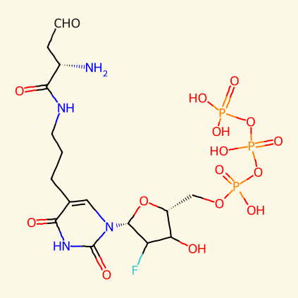 N[C@@H](CC=O)C(=O)NCCCc1cn([C@@H]2O[C@H](COP(=O)(O)OP(=O)(O)OP(=O)(O)O)C(O)C2F)c(=O)[nH]c1=O